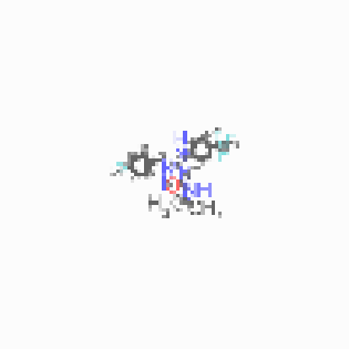 CC(C)NC(=O)/N=C(\NCc1ccc(F)cc1)Nc1ccc(C(F)(F)F)cc1